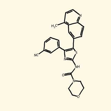 Cc1ccnc2ccc(-c3sc(NC(=O)N4CCOCC4)nc3-c3cccc(C#N)c3)cc12